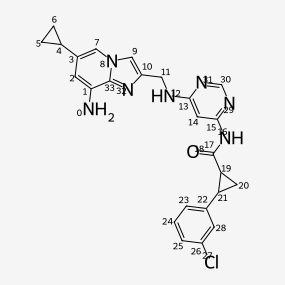 Nc1cc(C2CC2)cn2cc(CNc3cc(NC(=O)C4CC4c4cccc(Cl)c4)ncn3)nc12